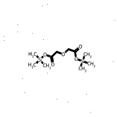 C[Si](C)(C)OC(=O)COCC(=O)O[Si](C)(C)C